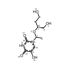 CC(O[C@H](CO)CCO)n1cc(O)c(=O)[nH]c1=O